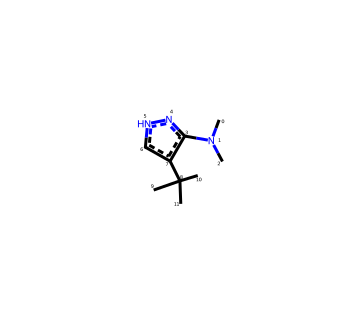 CN(C)c1n[nH]cc1C(C)(C)C